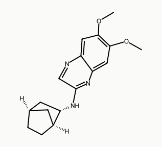 COc1cc2ncc(N[C@H]3C[C@@H]4CC[C@H]3C4)nc2cc1OC